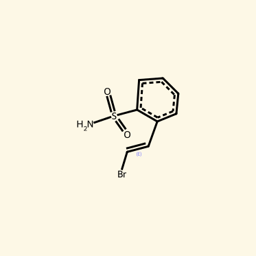 NS(=O)(=O)c1ccccc1/C=C/Br